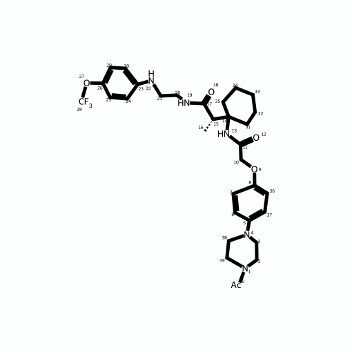 CC(=O)N1CCN(c2ccc(OCC(=O)NC3([C@H](C)C(=O)NCCNc4ccc(OC(F)(F)F)cc4)CCCCC3)cc2)CC1